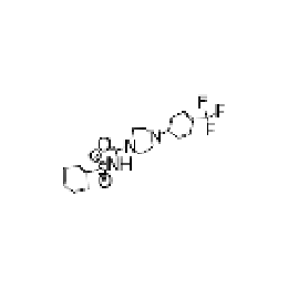 O=C(NS(=O)(=O)c1ccccc1)N1CCN(c2ccc(C(F)(F)F)cc2)CC1